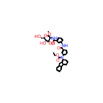 CCOC(=O)N(c1cccc(C(=O)Nc2cccc(C(=O)N[C@@H]3[C@@H](OC)O[C@H](CO)[C@@H](O)[C@@H]3O)c2)c1)c1cccc2c1Cc1ccccc1-2